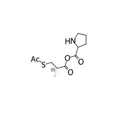 CC(=O)SC[C@@H](C)C(=O)OC(=O)C1CCCN1